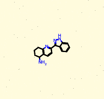 NC1CCCc2nc(-c3n[nH]c4ccccc34)ccc21